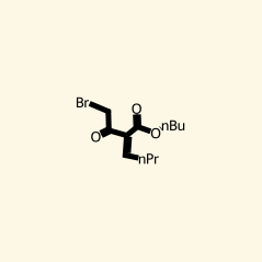 CCCC=C(C(=O)CBr)C(=O)OCCCC